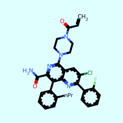 C=CC(=O)N1CCN(c2nc(C(N)=O)c(-c3ccccc3CCC)c3nc(-c4ccccc4F)c(Cl)cc23)CC1